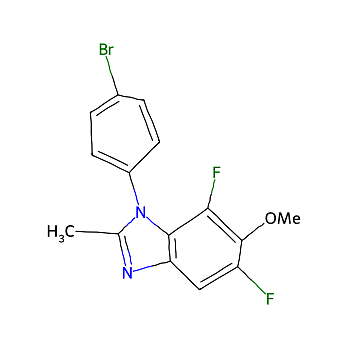 COc1c(F)cc2nc(C)n(-c3ccc(Br)cc3)c2c1F